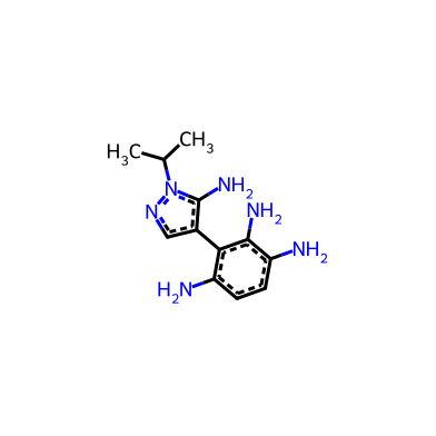 CC(C)n1ncc(-c2c(N)ccc(N)c2N)c1N